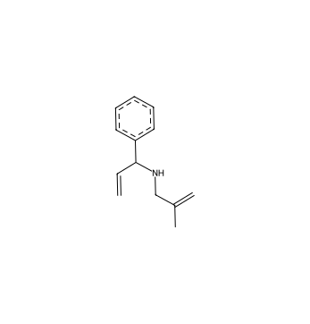 C=CC(NCC(=C)C)c1ccccc1